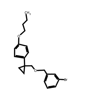 CCCCOc1ccc(C2(COCc3cccc(Br)c3)CC2)cc1